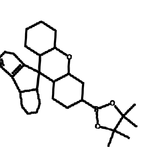 CC1(C)OB(C2CCC3C(C2)OC2CCCCC2C32C3=C(C=CCC3)C3CCCCC32)OC1(C)C